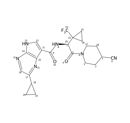 N#CC1CCN(C(=O)[C@@H](NC(=O)c2c[nH]c3ncc(C4CC4)nc23)C2(C(F)(F)F)CC2)CC1